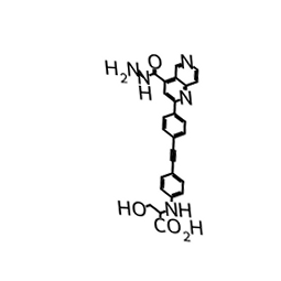 NNC(=O)c1cc(-c2ccc(C#Cc3ccc(NC(CO)C(=O)O)cc3)cc2)nc2ccncc12